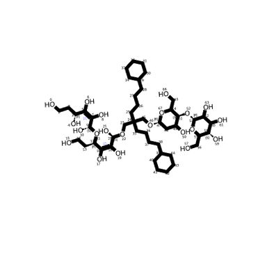 OCC[C@@H](O)/C(O)=C(/O)[C@@H](O)O[C@H](CCO)/C(O)=C(/O)[C@@H](O)OCC(CCCCC1CCCCC1)(CCCCC1CCCCC1)CO[C@H]1CC(O)[C@H](O[C@H]2OC(CO)[C@@H](O)C(O)C2O)C(CO)O1